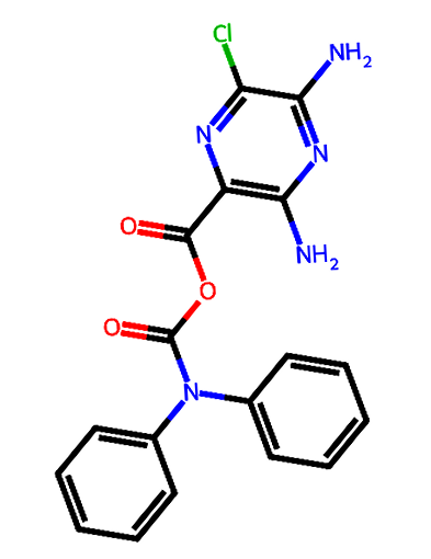 Nc1nc(N)c(C(=O)OC(=O)N(c2ccccc2)c2ccccc2)nc1Cl